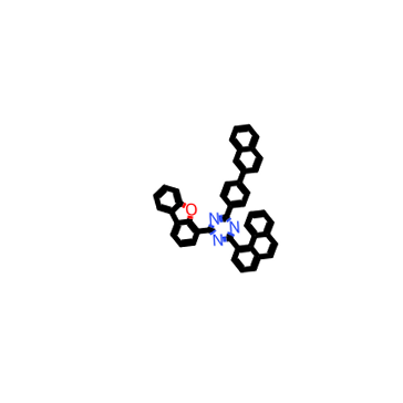 c1ccc2cc(-c3ccc(-c4nc(-c5cccc6c5oc5ccccc56)nc(-c5cccc6ccc7ccccc7c56)n4)cc3)ccc2c1